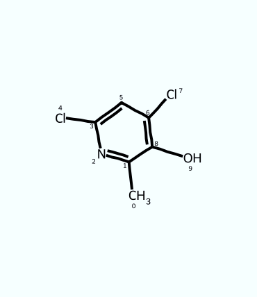 Cc1nc(Cl)cc(Cl)c1O